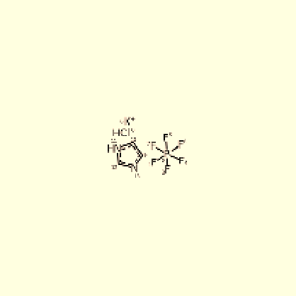 Cl.F[P-](F)(F)(F)(F)F.[K+].c1c[nH]cn1